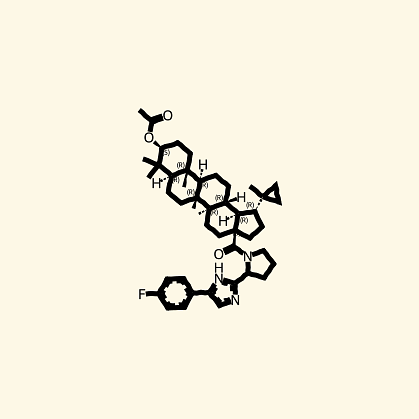 CC(=O)O[C@H]1CC[C@]2(C)[C@H]3CC[C@@H]4[C@H]5[C@H](C6(C)CC6)CC[C@]5(C(=O)N5CCCC5c5ncc(-c6ccc(F)cc6)[nH]5)CC[C@@]4(C)[C@]3(C)CC[C@H]2C1(C)C